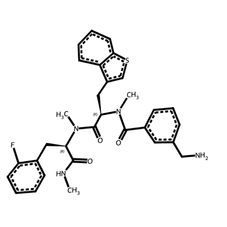 CNC(=O)[C@@H](Cc1ccccc1F)N(C)C(=O)[C@@H](Cc1csc2ccccc12)N(C)C(=O)c1cccc(CN)c1